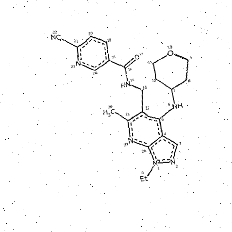 CCn1ncc2c(NC3CCOCC3)c(CNC(=O)c3ccc(C#N)nc3)c(C)nc21